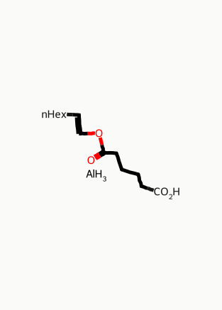 CCCCCCC=COC(=O)CCCCC(=O)O.[AlH3]